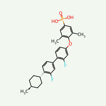 Cc1cc(P(=O)(O)O)cc(C)c1Oc1ccc(-c2ccc([C@H]3CC[C@H](C)CC3)c(F)c2)c(F)c1